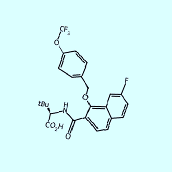 CC(C)(C)[C@@H](NC(=O)c1ccc2ccc(F)cc2c1OCc1ccc(OC(F)(F)F)cc1)C(=O)O